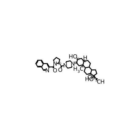 C#C[C@]1(O)CCC2C3CC[C@H]4C[C@H](O)[C@@H](N5CCN(C(=O)[C@@H]6CCCN6C(=O)c6cc7ccccc7cn6)CC5)C[C@]4(C)C3CC[C@@]21C